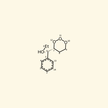 CCO.c1ccc(C[C@H]2CCOOO2)cc1